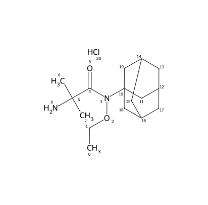 CCON(C(=O)C(C)(C)N)C12CC3CC(CC(C3)C1)C2.Cl